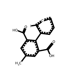 Cc1cc(C(=O)O)c(-c2ccccc2I)c(C(=O)O)c1